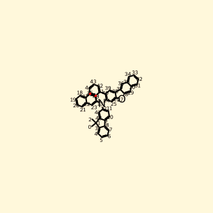 CC1(C)c2ccccc2-c2ccc(N(c3ccc4ccccc4c3)c3cc4oc5cc6ccccc6cc5c4cc3-c3ccccc3)cc21